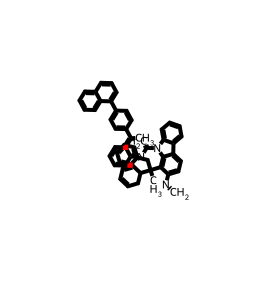 C=Nc1ccc2c3ccccc3n(C(=C)/N=C3/C=CC=C/C3=C(/C)c3ccc(-c4cccc5ccccc45)cc3)c2c1C(C)(Cc1ccccc1)C1C=CC=CC1